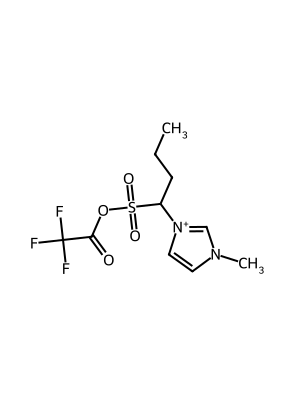 CCCC([n+]1ccn(C)c1)S(=O)(=O)OC(=O)C(F)(F)F